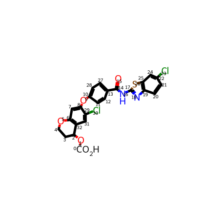 O=C(O)OC1CCOc2cc(Oc3ccc(C(=O)Nc4nc5ccc(Cl)cc5s4)cc3)c(Cl)cc21